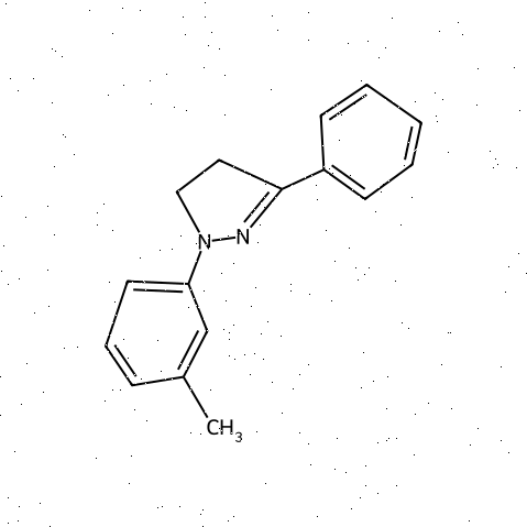 Cc1cccc(N2CCC(c3ccccc3)=N2)c1